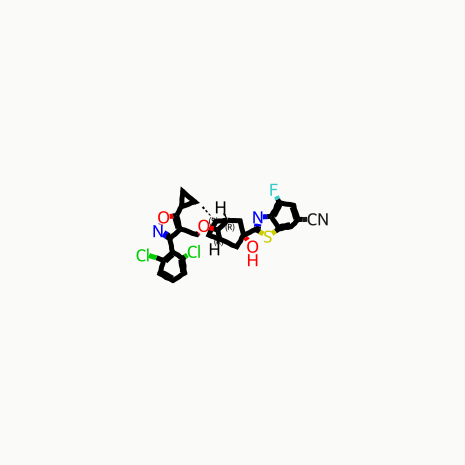 C[C@H]1C[C@@H]2CC(O)(c3nc4c(F)cc(C#N)cc4s3)C[C@H]1C2OCc1c(-c2c(Cl)cccc2Cl)noc1C1CC1